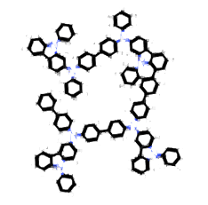 c1ccc(-c2ccc(N(c3ccc(-c4ccc(N(c5ccc(-c6ccc(-c7cccc8c9ccc(N(c%10ccccc%10)c%10ccc(-c%11ccc(N(c%12ccccc%12)c%12ccc%13c%14ccccc%14n(-c%14ccccc%14)c%13c%12)cc%11)cc%10)cc9n(-c9ccccc9)c78)cc6)cc5)c5ccc6c(c5)c5ccccc5n6-c5ccccc5)cc4)cc3)c3ccc4c(c3)c3ccccc3n4-c3ccccc3)cc2)cc1